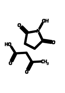 CC(=O)CC(=O)O.O=C1CCC(=O)N1O